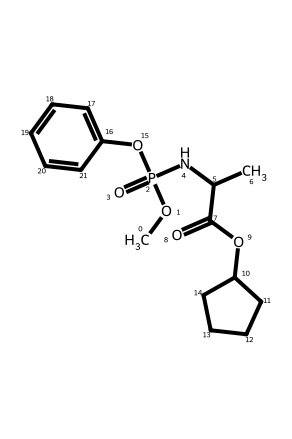 COP(=O)(NC(C)C(=O)OC1CCCC1)Oc1ccccc1